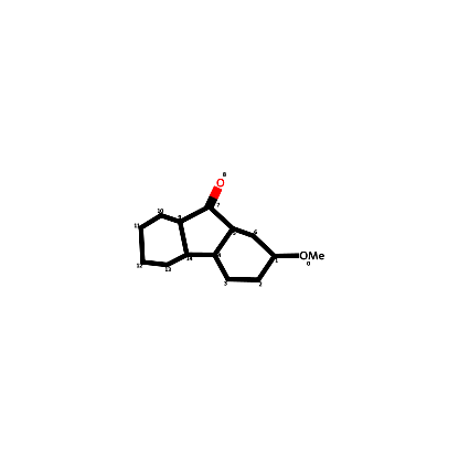 COC1CCC2C(C1)C(=O)C1CCCCC12